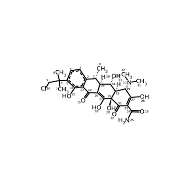 C[C@H]1c2ccc(C(C)(C)CCl)c(O)c2C(=O)C2=C(O)[C@@]3(O)C(=O)C(C(N)=O)=C(O)[C@@H](N(C)C)[C@@H]3[C@@H](O)[C@@H]21